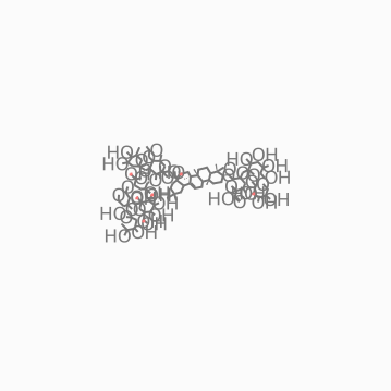 CC(=O)OC1C(C)OC(OC(=O)[C@]23CCC(C)(C)CC2C2=CCC4[C@@]5(C)CC[C@H](OC6OC(C(=O)O)C(O)C(OC7OCC(O)C(O)C7O)C6OC6OC(CO)C(O)C(O)C6O)[C@@](C)(C=O)C5CC[C@@]4(C)[C@]2(C)C[C@H]3O)C(OC2OC(C)C(OC3OCC(O)C(OC4OCC(O)C(O)C4O)C3O)C(OC3OC(CO)C(O)C(O)C3O)C2O)C1OC1OC(C)C(O)C(O)C1O